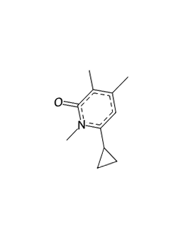 Cc1cc(C2CC2)n(C)c(=O)c1C